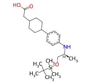 C[C@@H](CO[Si](C)(C)C(C)(C)C)Nc1ccc(C2CCC(CC(=O)O)CC2)cc1